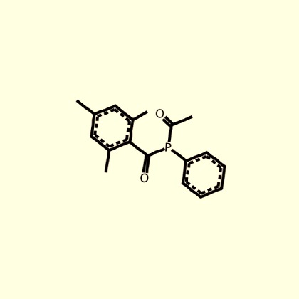 CC(=O)P(C(=O)c1c(C)cc(C)cc1C)c1ccccc1